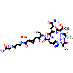 CC[C@H](C)[C@H](NC(=O)CC(C)(C)C)C(=O)N[C@H](C(=O)N[C@@H](CCC(N)=O)C(=O)N[C@@H](Cc1c[nH]cn1)C(=O)N[C@H](CC(C)C)C(=O)CC1CC1[C@@H](CO)C(=O)NCCC(=O)NCC(N)=O)[C@@H](C)O